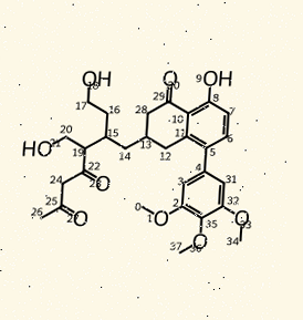 COc1cc(-c2ccc(O)c3c2CC(CC(CCO)C(CO)C(=O)CC(C)=O)CC3=O)cc(OC)c1OC